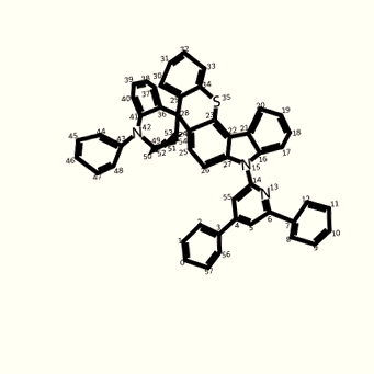 c1ccc(-c2cc(-c3ccccc3)nc(-n3c4ccccc4c4c5c(ccc43)C3(c4ccccc4S5)c4ccccc4N(c4ccccc4)c4ccccc43)c2)cc1